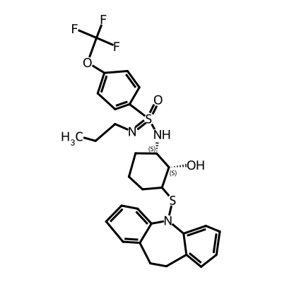 CCCN=S(=O)(N[C@H]1CCCC(SN2c3ccccc3CCc3ccccc32)[C@H]1O)c1ccc(OC(F)(F)F)cc1